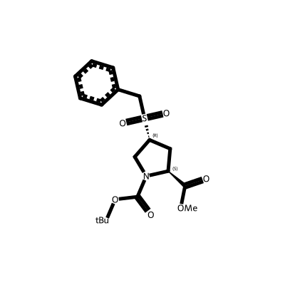 COC(=O)[C@@H]1C[C@@H](S(=O)(=O)Cc2ccccc2)CN1C(=O)OC(C)(C)C